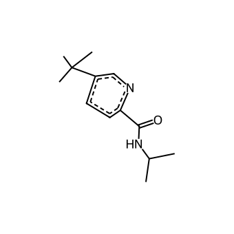 CC(C)NC(=O)c1ccc(C(C)(C)C)cn1